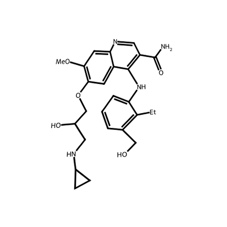 CCc1c(CO)cccc1Nc1c(C(N)=O)cnc2cc(OC)c(OCC(O)CNC3CC3)cc12